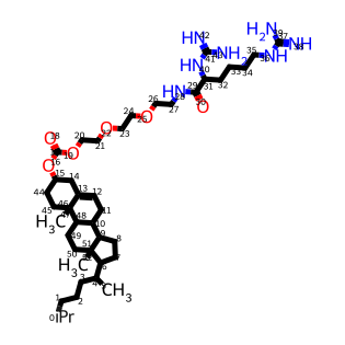 CC(C)CCCC(C)C1CCC2C3CC=C4CC(OC(=O)OCCOCCOCCNC(=O)C(CCCCNC(=N)N)NC(=N)N)CCC4(C)C3CCC12C